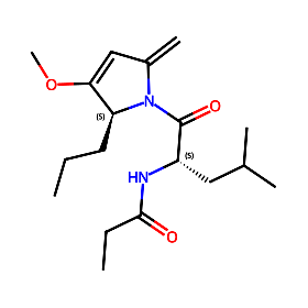 C=C1C=C(OC)[C@H](CCC)N1C(=O)[C@H](CC(C)C)NC(=O)CC